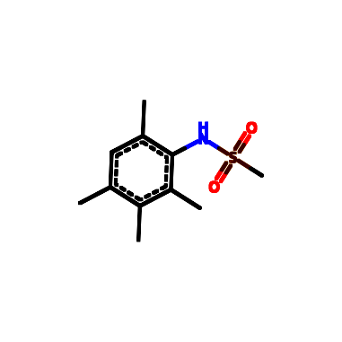 Cc1cc(C)c(NS(C)(=O)=O)c(C)c1C